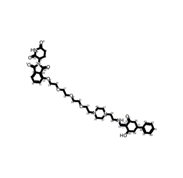 O=C1CCC(N2C(=O)c3cccc(OCCOCCOCCOCCN4CCN(CCN/C=C5\C(=O)CC(c6ccccc6)CC5O)CC4)c3C2=O)C(=O)N1